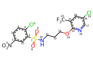 O=[N+]([O-])c1ccc(Cl)c(S(=O)(=O)NCCCOc2ncc(Cl)cc2C(F)(F)F)c1